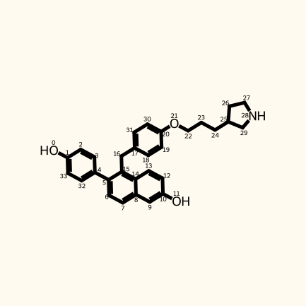 Oc1ccc(-c2ccc3cc(O)ccc3c2Cc2ccc(OCCCC3CCNC3)cc2)cc1